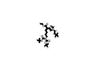 CCOC(=O)/C(=C/CCCN(C(=O)OC(C)(C)C)C(=O)OC(C)(C)C)c1cn(CCC(C)(C)C)cn1